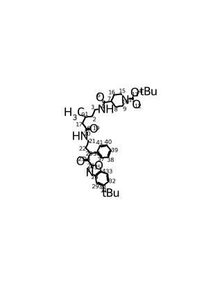 CC(CCNC(=O)C1CCN(C(=O)OC(C)(C)C)CC1)CC(=O)NCCC(C(=O)c1nc2cc(C(C)(C)C)ccc2o1)c1ccccc1